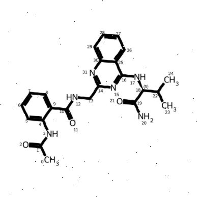 CC(=O)Nc1ccccc1C(=O)NCc1nc(N[C@H](C(N)=O)C(C)C)c2ccccc2n1